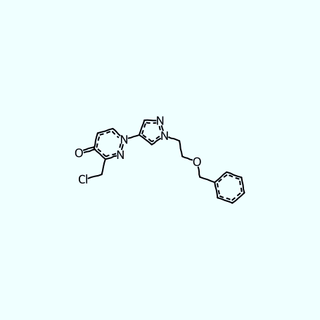 O=c1ccn(-c2cnn(CCOCc3ccccc3)c2)nc1CCl